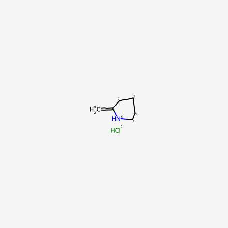 C=C1CCCCN1.Cl